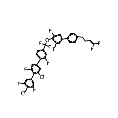 FC(F)=CCCc1ccc(-c2cc(F)c(OC(F)(F)c3ccc(-c4cc(F)c(-c5cc(F)c(Cl)c(F)c5)c(Cl)c4)c(F)c3)c(F)c2)cc1